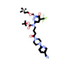 CC(C)(C)OC(=O)N(CCCC(=O)N1CCN(c2ccc(C#N)cn2)CC1)c1cc(C(F)(F)F)c(=O)n(COCC[Si](C)(C)C)n1